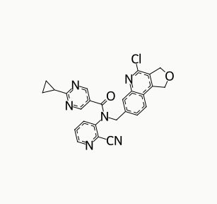 N#Cc1ncccc1N(Cc1ccc2c3c(c(Cl)nc2c1)COC3)C(=O)c1cnc(C2CC2)nc1